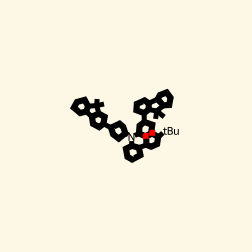 CC(C)(C)c1ccc(-c2ccccc2N(c2ccc(-c3ccc4c(c3)C(C)(C)c3ccccc3-4)cc2)c2cccc(-c3cccc4c3C(C)(C)c3ccccc3-4)c2)cc1